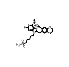 C#Cc1cc2c(cc1Cc1nc3c(N)nc(F)nc3n1CCCCCS(N)(=O)=O)OCCO2